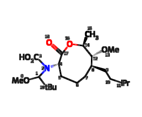 COC(N(C(=O)O)[C@H]1CCC[C@H](CCC(C)C)[C@@H](OC)[C@H](C)OC1=O)C(C)(C)C